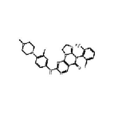 Cc1cc(Nc2ncc3c(n2)N2CCN=C2N(c2c(F)cccc2C(F)(F)F)C3=O)ccc1N1CCN(C)CC1